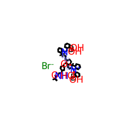 C=C(C)C(=O)NCCc1ccc(OC2=C(/C=C\C3=[N+](Cc4ccccc4B(O)O)c4ccccc4C3(C)C)CCC/C2=C\C=C2\N(Cc3ccccc3B(O)O)c3ccccc3C2(C)C)cc1.[Br-]